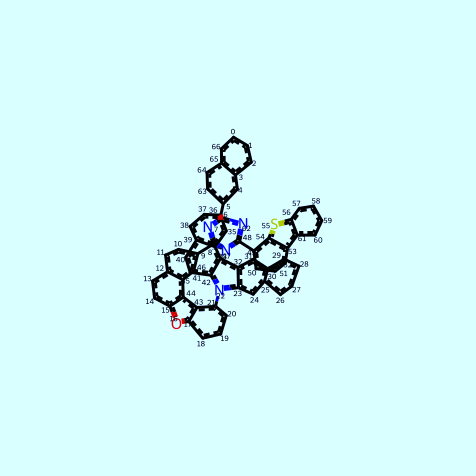 c1ccc2cc(-c3nc(-c4ccc5ccc6oc7cccc(-n8c9cc%10ccccc%10cc9c9c%10ccccc%10ccc98)c7c6c5c4)nc(-c4cccc5c4sc4ccccc45)n3)ccc2c1